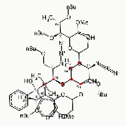 CCCCOC[C@H](N=[N+]=[N-])[C@@H](OC(CO)[C@H](C)OC(CO)OC(C(=O)OC)[C@@H](OCCCC)[C@H](C)OCCCC)O[C@@H](C(OC(CO)O[C@@H]1C(CCC(C)(C)[Si](O)(c2ccccc2)c2ccccc2)OC[C@@H](N=[N+]=[N-])C1OCCCC)C(=O)OC)[C@H](C)OCCCC